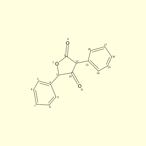 O=C1OC(c2ccccc2)C(=O)C1c1ccccc1